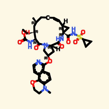 CC[C@@H]1C[C@@H](C)CCC=C[C@@H]2C[C@@]2(C(=O)NS(=O)(=O)C2CC2)NC(=O)[C@@H]2C[C@@H](Oc3nccc4c5c(ccc34)N(C)CCO5)CN2C(=O)[C@H]1NC(=O)O